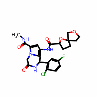 CNC(=O)c1cc(NC(=O)C2CCC3(CCOC3)O2)c2n1CC(=O)NC2c1cc(F)ccc1Cl